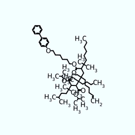 C=CCCCCC(CC)(CC(C(=O)OCCCCCCOc1ccc(-c2ccccc2)cc1)C(C)(C)CCCCCC)C(CC)(CCCC)C(C(=O)OC(C)C)C(C(=O)OC(C)C)C(C)(C)CCC(C)C